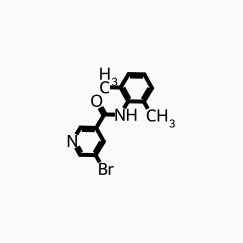 Cc1cccc(C)c1NC(=O)c1cncc(Br)c1